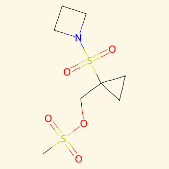 CS(=O)(=O)OCC1(S(=O)(=O)N2CCC2)CC1